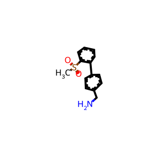 CS(=O)(=O)c1ccccc1-c1ccc(CN)cc1